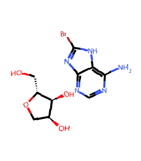 Nc1ncnc2nc(Br)[nH]c12.OC[C@H]1OC[C@H](O)[C@@H]1O